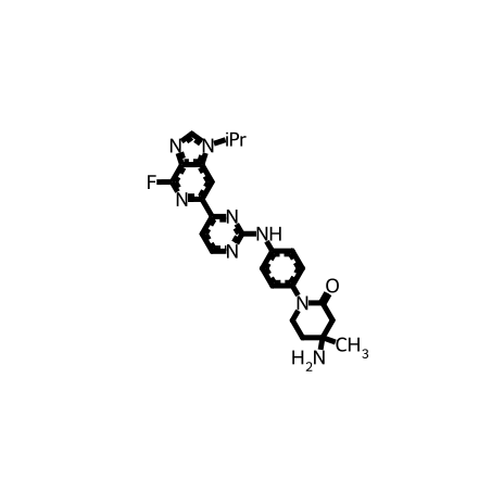 CC(C)n1cnc2c(F)nc(-c3ccnc(Nc4ccc(N5CCC(C)(N)CC5=O)cc4)n3)cc21